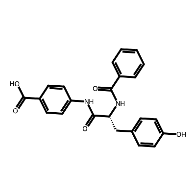 O=C(O)c1ccc(NC(=O)[C@@H](Cc2ccc(O)cc2)NC(=O)c2ccccc2)cc1